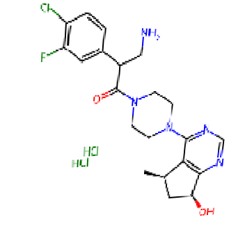 C[C@@H]1C[C@H](O)c2ncnc(N3CCN(C(=O)C(CN)c4ccc(Cl)c(F)c4)CC3)c21.Cl.Cl